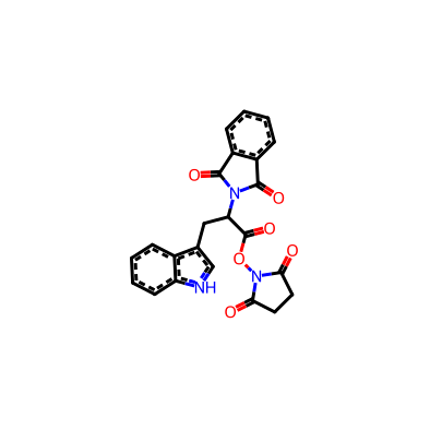 O=C(ON1C(=O)CCC1=O)C(Cc1c[nH]c2ccccc12)N1C(=O)c2ccccc2C1=O